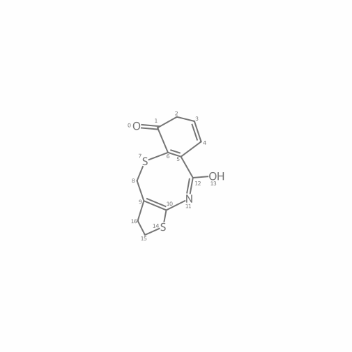 O=C1CC=CC2=C1SCC1=C(/N=C\2O)SCC1